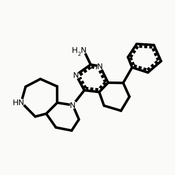 Nc1nc2c(c(N3CCCC4CNCCCC43)n1)CCCC2c1ccccc1